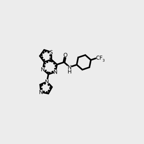 O=C(NC1CCC(C(F)(F)F)CC1)c1nc(-n2ccnc2)nc2ccsc12